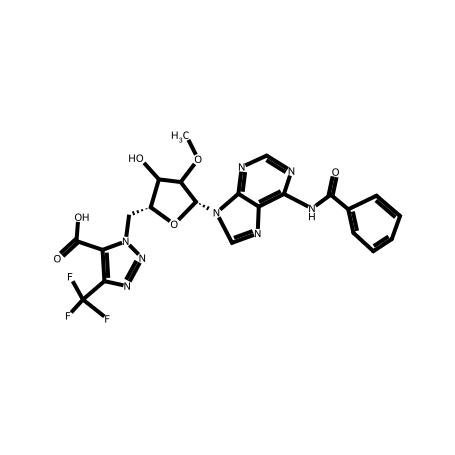 COC1C(O)[C@@H](Cn2nnc(C(F)(F)F)c2C(=O)O)O[C@H]1n1cnc2c(NC(=O)c3ccccc3)ncnc21